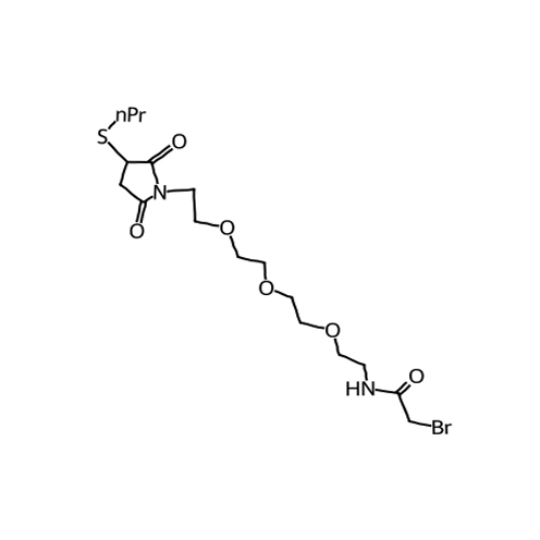 CCCSC1CC(=O)N(CCOCCOCCOCCNC(=O)CBr)C1=O